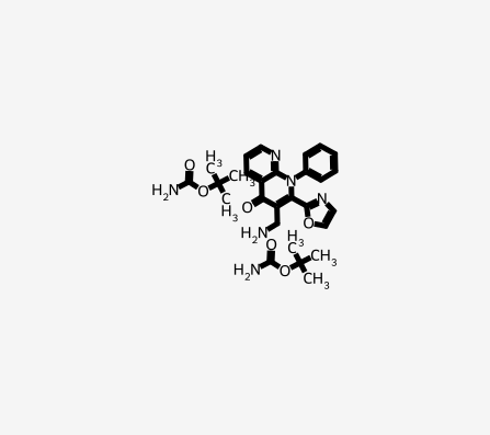 CC(C)(C)OC(N)=O.CC(C)(C)OC(N)=O.NCc1c(-c2ncco2)n(-c2ccccc2)c2ncccc2c1=O